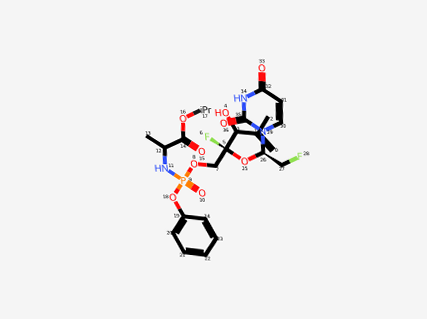 C=C(C)C(O)[C@@](F)(COP(=O)(NC(C)C(=O)OC(C)C)Oc1ccccc1)O[C@H](CF)n1ccc(=O)[nH]c1=O